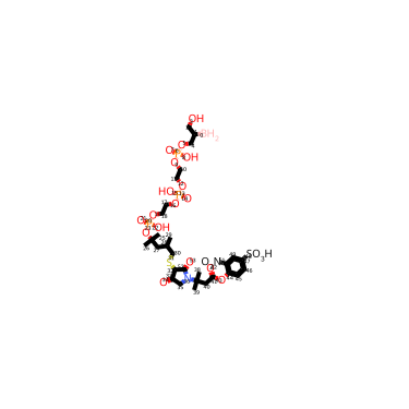 BC(CO)COP(=O)(O)OCCOP(=O)(O)OCCOP(=O)(O)OC(C)(C)CC(C)CSC1C(=O)CN(C(C)(C)CC(=O)Oc2ccc(S(=O)(=O)O)cc2[N+](=O)[O-])C1=O